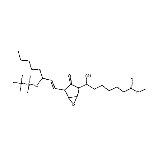 CCCCCC(C=CC1C(=O)C(C(O)CCCCCC(=O)OC)C2OC12)O[Si](C)(C)C(C)(C)C